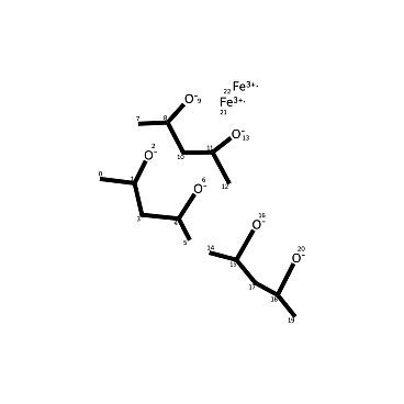 CC([O-])CC(C)[O-].CC([O-])CC(C)[O-].CC([O-])CC(C)[O-].[Fe+3].[Fe+3]